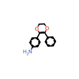 Nc1ccc(C2=C(c3ccccc3)OCCO2)cc1